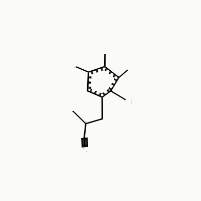 N#CC(Cl)Cc1cc(Cl)c(Cl)c(Cl)c1Cl